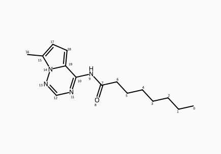 CCCCCCCC(=O)Nc1ncnn2c(C)ccc12